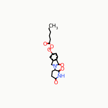 CCCCCC(=O)OOc1ccc2c(c1)CN(C1CCC(=O)NC1=O)C2=O